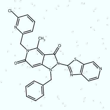 Cc1c2c(=O)n(-c3nc4ccncc4s3)n(Cc3ccccc3)c2cc(=O)n1Cc1cccc(Cl)n1